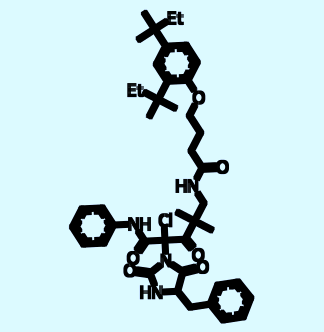 CCC(C)(C)c1ccc(OCCCC(=O)NCC(C)(C)C(=O)C(Cl)(C(=O)Nc2ccccc2)N2C(=O)NC(Cc3ccccc3)C2=O)c(C(C)(C)CC)c1